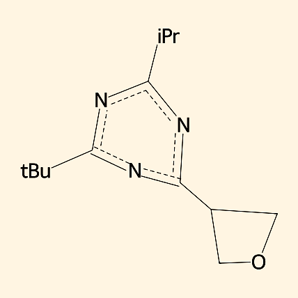 CC(C)c1nc(C2COC2)nc(C(C)(C)C)n1